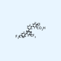 O=C(O)c1cc(-c2cccc(-c3nc(-c4ccc(C(F)(F)F)nc4)cc(C(F)(F)F)n3)c2)ccc1Cl